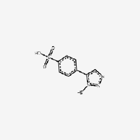 O=S(=O)(O)c1ccc(-c2cnnn2S)cc1